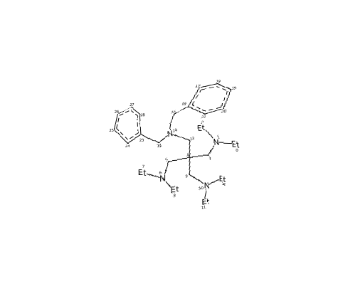 CCN(CC)CC(CN(CC)CC)(CN(CC)CC)CN(Cc1ccccc1)Cc1ccccc1